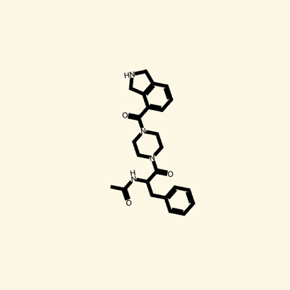 CC(=O)NC(Cc1ccccc1)C(=O)N1CCN(C(=O)c2cccc3c2CNC3)CC1